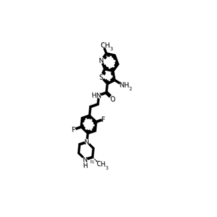 Cc1ccc2c(N)c(C(=O)NCCc3cc(F)c(N4CCN[C@@H](C)C4)cc3F)sc2n1